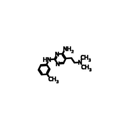 Cc1cccc(Nc2ncc(CCN(C)C)c(N)n2)c1